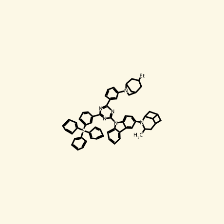 CCC1CC2CC(C1)N(c1cccc(-c3nc(-c4cccc(S(c5ccccc5)(c5ccccc5)c5ccccc5)c4)nc(-n4c5ccccc5c5cc(N6C(C)CC7CC8CC6C78)ccc54)n3)c1)C2